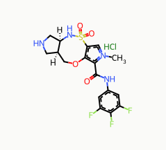 Cl.Cn1cc2c(c1C(=O)Nc1cc(F)c(F)c(F)c1)OC[C@H]1CNC[C@H]1NS2(=O)=O